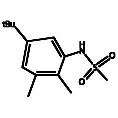 Cc1cc(C(C)(C)C)cc(NS(C)(=O)=O)c1C